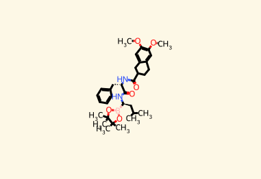 COc1cc2c(cc1OC)CC(C(=O)N[C@@H](Cc1ccccc1)C(=O)N[C@@H](CC(C)C)B1OC(C)(C)C(C)(C)O1)CC2